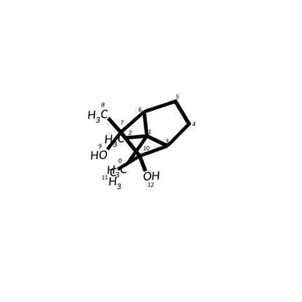 CC1(C)C2CCC1C(C)(O)C2(C)O